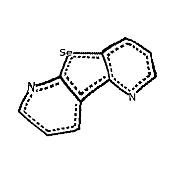 c1cnc2c(c1)[se]c1ncccc12